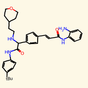 CC(C)(C)c1ccc(NC(=O)C(NCCC2CCOCC2)c2ccc(C=CC(=O)Nc3ccccc3N)cc2)cc1